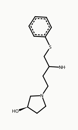 [NH]C(CCN1CC[C@@H](O)C1)CSc1ccccc1